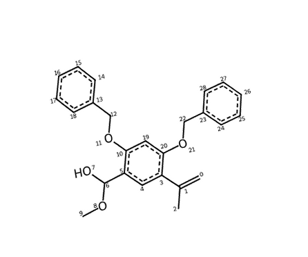 C=C(C)c1cc(C(O)OC)c(OCc2ccccc2)cc1OCc1ccccc1